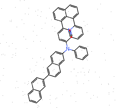 c1ccc(N(c2ccc(-c3cccc4cccc(-c5ccccn5)c34)cc2)c2ccc3cc(-c4ccc5ccccc5c4)ccc3c2)cc1